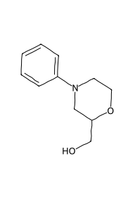 OCC1CN(c2ccccc2)CCO1